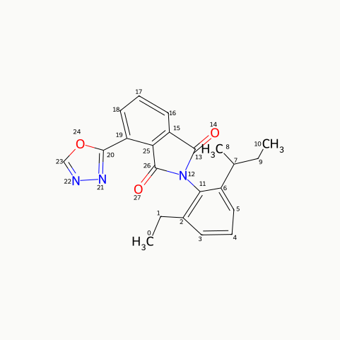 CCc1cccc(C(C)CC)c1N1C(=O)c2cccc(-c3nnco3)c2C1=O